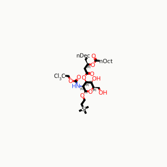 CCCCCCCCCCC[C@H](CC(=O)O[C@H]1[C@H](O)[C@@H](CO)O[C@H](OCC[Si](C)(C)C)[C@H]1NC(=O)OCC(Cl)(Cl)Cl)OC(=O)CCCCCCCC